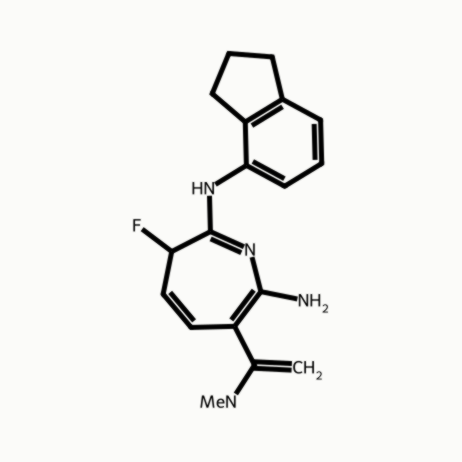 C=C(NC)C1=C(N)N=C(Nc2cccc3c2CCC3)C(F)C=C1